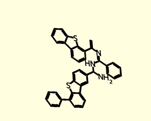 C=C(/N=C(\NC(N)c1ccc2sc3c(-c4ccccc4)cccc3c2c1)c1ccccc1)c1cccc2c1sc1ccccc12